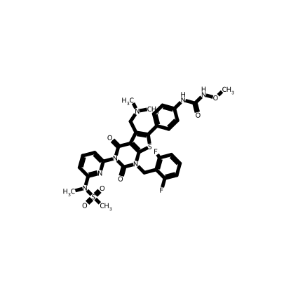 CONC(=O)Nc1ccc(-c2sc3c(c2CN(C)C)c(=O)n(-c2cccc(N(C)S(C)(=O)=O)n2)c(=O)n3Cc2c(F)cccc2F)cc1